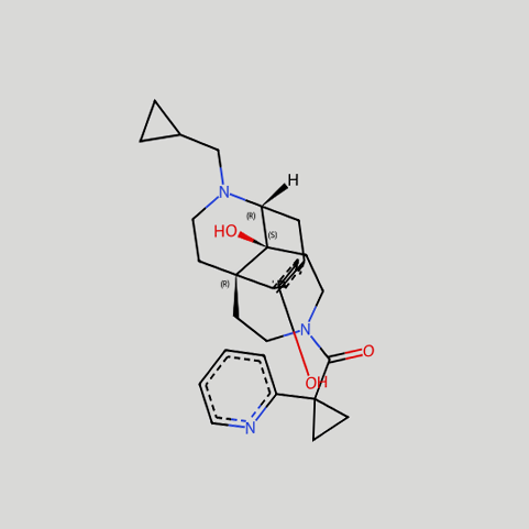 O=C(N1CC[C@]23CCN(CC4CC4)[C@H](Cc4ccc(O)cc42)[C@]3(O)CC1)C1(c2ccccn2)CC1